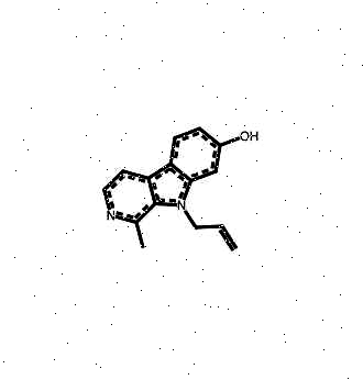 C=CCn1c2cc(O)ccc2c2ccnc(C)c21